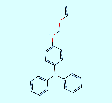 C=COCOc1ccc([S+](c2ccccc2)c2ccccc2)cc1